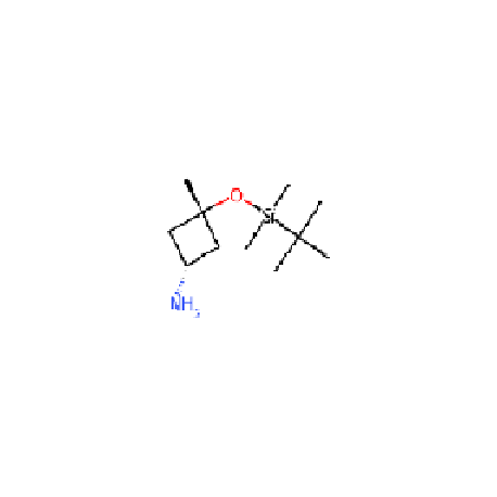 CC(C)(C)[Si](C)(C)O[C@]1(C)C[C@H](N)C1